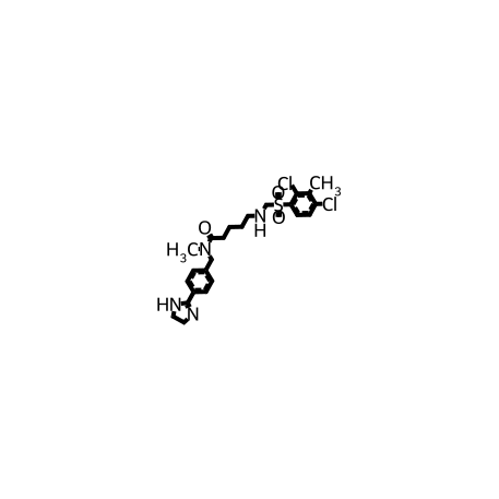 Cc1c(Cl)ccc(S(=O)(=O)CNCCCCC(=O)N(C)Cc2ccc(C3=NCCN3)cc2)c1Cl